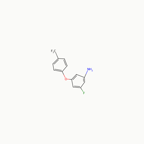 Nc1cc(F)cc(Oc2ccc(C(F)(F)F)cc2)c1